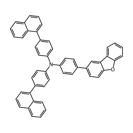 c1ccc2c(-c3ccc(N(c4ccc(-c5ccc6oc7ccccc7c6c5)cc4)c4ccc(-c5cccc6ccccc56)cc4)cc3)cccc2c1